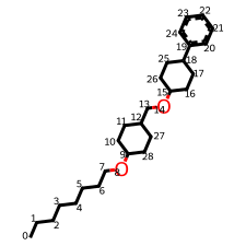 CCCCCCCCOC1CCC(COC2CCC(c3ccccc3)CC2)CC1